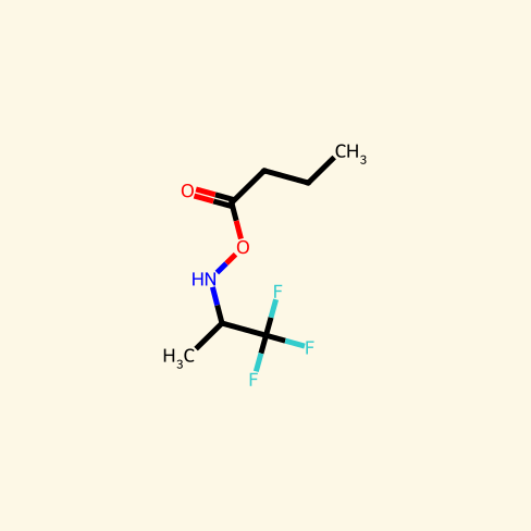 CCCC(=O)ONC(C)C(F)(F)F